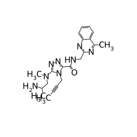 CC#CCn1c(C(=O)NCc2nc(C)c3ccccc3n2)nnc1N(C)CC(C)N